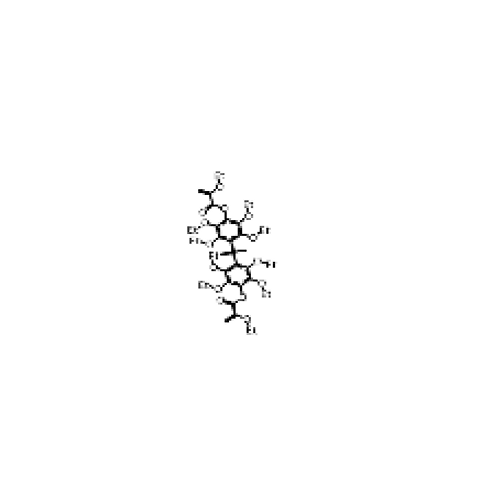 C=C(OCC)C(=O)Oc1c(OCC)c(OCC)c(C(C)(C)c2c(OCC)c(OCC)c(OC(=O)C(=C)OCC)c(OCC)c2OCC)c(OCC)c1OCC